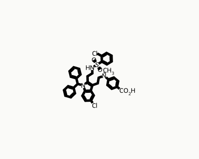 CN(CCc1c(CCNS(=O)(=O)c2ccccc2Cl)n(C(c2ccccc2)c2ccccc2)c2ccc(Cl)cc12)c1ccc(C(=O)O)cc1